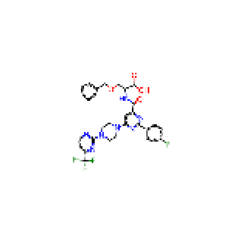 O=C(N[C@@H](COCc1ccccc1)C(=O)O)c1cc(N2CCN(c3nccc(C(F)(F)F)n3)CC2)nc(-c2ccc(F)cc2)n1